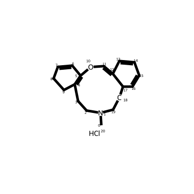 CN1CCC2=C(C=CCC2)O/C=C2/C=CC=CC2CC1.Cl